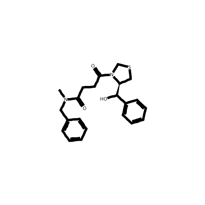 CN(Cc1ccccc1)C(=O)CCC(=O)N1CSC[C@H]1C(O)c1ccccc1